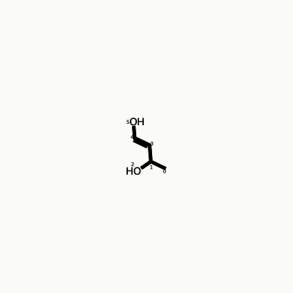 CC(O)C=CO